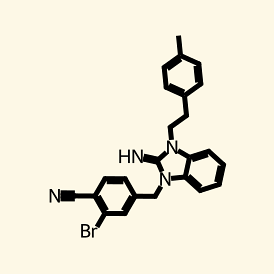 Cc1ccc(CCn2c(=N)n(Cc3ccc(C#N)c(Br)c3)c3ccccc32)cc1